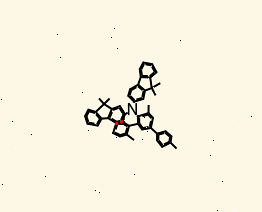 Cc1ccc(-c2cc(C)c(N(c3ccc4c(c3)C(C)(C)c3ccccc3-4)c3ccc4c(c3)C(C)(C)c3ccccc3-4)c(-c3c(C)cccc3C)c2)cc1